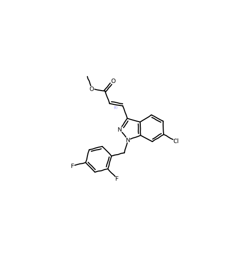 COC(=O)/C=C/c1nn(Cc2ccc(F)cc2F)c2cc(Cl)ccc12